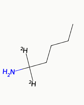 [2H]C([2H])(N)CCCC